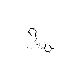 CCCCCCCCCN(CCc1ccccc1)C(=O)Nc1ccc(C)cc1C